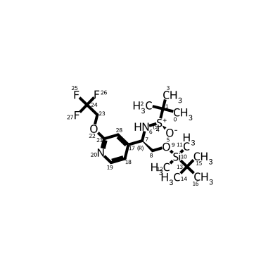 CC(C)(C)[S@@+]([O-])N[C@@H](CO[Si](C)(C)C(C)(C)C)c1ccnc(OCC(F)(F)F)c1